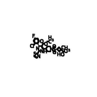 CCOC(=O)C1=C(C2CCN(S(=O)(=O)[C@H]3C[C@](C)(C(=O)O)C3)CC2)NC(c2nccs2)=N[C@@H]1c1ccc(F)cc1Cl